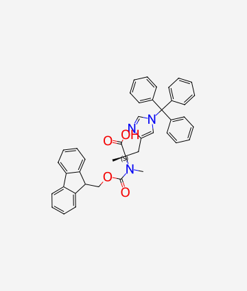 CN(C(=O)OCC1c2ccccc2-c2ccccc21)[C@@](C)(Cc1cn(C(c2ccccc2)(c2ccccc2)c2ccccc2)cn1)C(=O)O